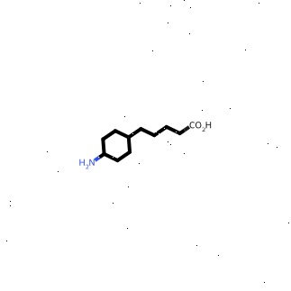 NC1CCC(CCCCC(=O)O)CC1